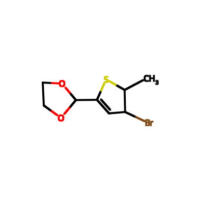 CC1SC(C2OCCO2)=CC1Br